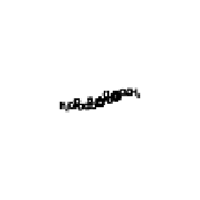 C=CC(=O)OCOC(=O)Oc1ccc(C(=O)Oc2ccc(OCC)cc2)cc1